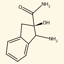 NC(=O)[C@@]1(O)Cc2ccccc2C1N